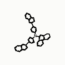 C1=Cc2c(cc(N(c3ccc(-c4ccc5ccccc5c4)cc3)c3ccc(-c4ccc5ccccc5c4)cc3)c3ccccc23)CC1